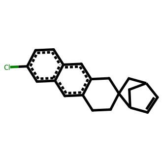 Clc1ccc2cc3c(cc2c1)CCC1(C3)CC2C=CC1C2